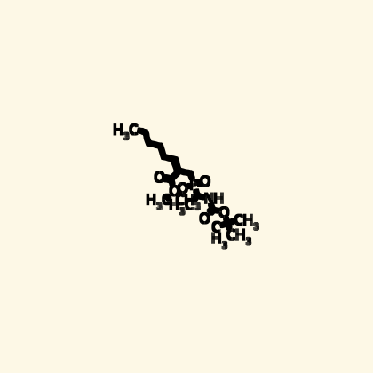 CCCCC/C=C(/CP(=O)(OC)C(C)NC(=O)OC(C)(C)C)C(=O)OC